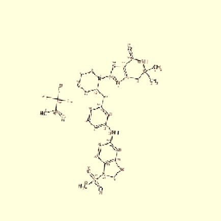 CC1(C)Cc2nc(N3CCOCC3Cc3cccc(Nc4ccc5c(c4)CCN5S(C)(=O)=O)c3)sc2C(=O)N1.O=C(O)C(F)(F)F